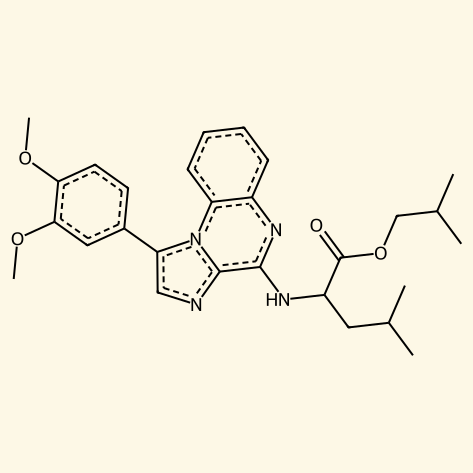 COc1ccc(-c2cnc3c(NC(CC(C)C)C(=O)OCC(C)C)nc4ccccc4n23)cc1OC